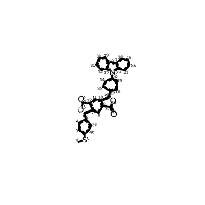 CSc1ccc(C2=c3cc4c(cc3C(=O)O2)=C(c2ccc(-n3c5ccccc5c5ccccc53)cc2)OC4=O)cc1